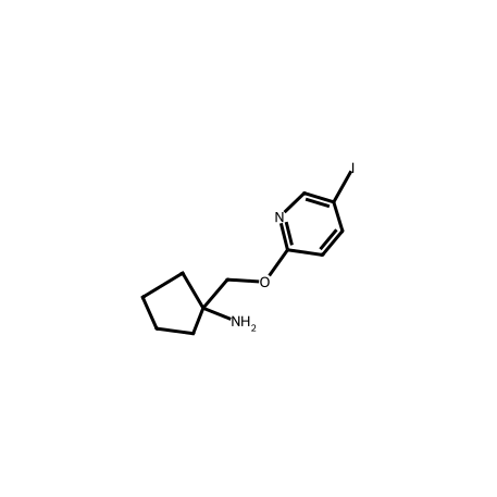 NC1(COc2ccc(I)cn2)CCCC1